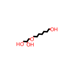 OCCCCCCCOCC(O)CO